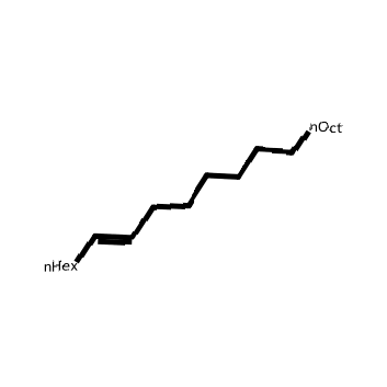 [CH2]CCCCCC=CCCCCCCCCCCCCCC